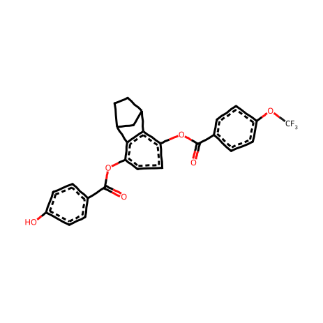 O=C(Oc1ccc(OC(=O)c2ccc(OC(F)(F)F)cc2)c2c1C1CCC2C1)c1ccc(O)cc1